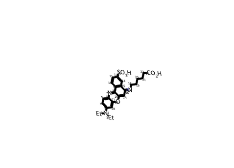 CCN(CC)c1ccc2nc3c4ccc(S(=O)(=O)O)cc4/c(=N\CCCCCC(=O)O)cc-3oc2c1